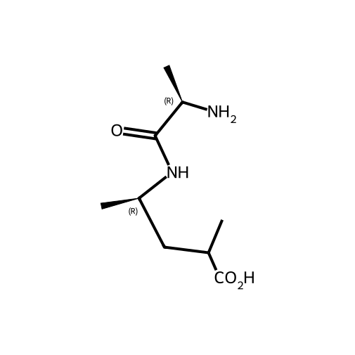 CC(C[C@@H](C)NC(=O)[C@@H](C)N)C(=O)O